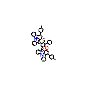 Cc1ccc(-c2cc3c4c5c2c2ccccc2n5-c2ccccc2B4c2cc4c(c(-c5ccccc5)c2O3)Sc2cc(-c3ccc(C)cc3)c3c5ccccc5n5c3c2B4c2ccccc2-5)cc1